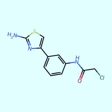 Nc1nc(-c2cccc(NC(=O)CCl)c2)cs1